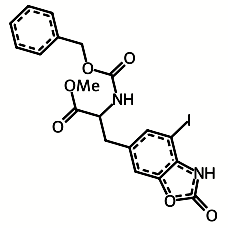 COC(=O)C(Cc1cc(I)c2[nH]c(=O)oc2c1)NC(=O)OCc1ccccc1